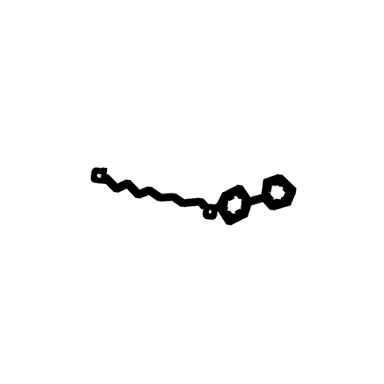 ClCCCCCCCCOc1ccc(-c2ccccc2)cc1